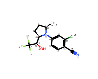 C[C@@H]1CC[C@H]([C@@H](O)C(F)(F)F)N1c1ccc(C#N)c(Cl)c1